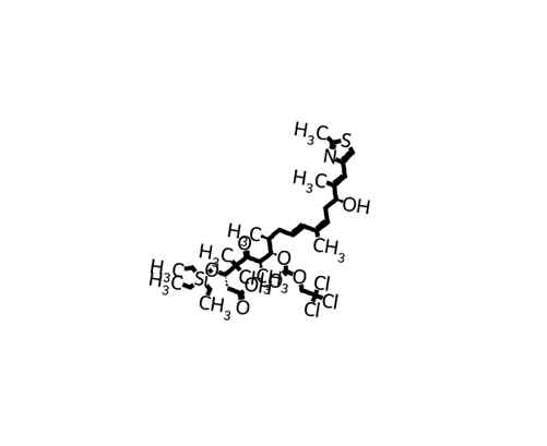 CC[Si](CC)(CC)O[C@@H](CC(=O)O)C(C)(C)C(=O)[C@H](C)[C@@H](OC(=O)OCC(Cl)(Cl)Cl)[C@@H](C)C/C=C/C(C)=C\C[C@H](O)/C(C)=C/c1csc(C)n1